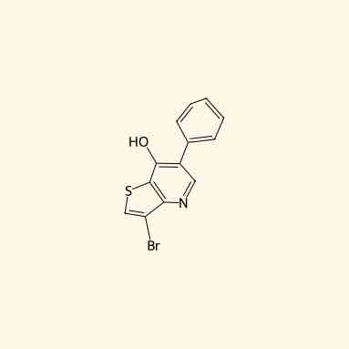 Oc1c(-c2ccccc2)cnc2c(Br)csc12